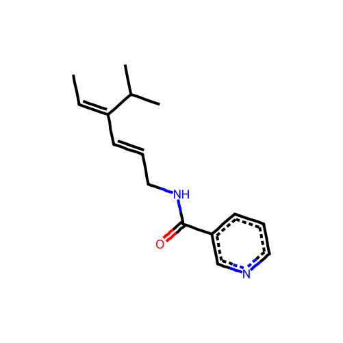 C/C=C(/C=C/CNC(=O)c1cccnc1)C(C)C